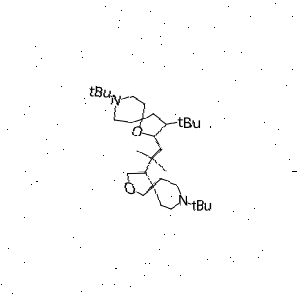 CC(C)(C)C1CC2(CCN(C(C)(C)C)CC2)OC1CC(C)(C)C1COCC12CCN(C(C)(C)C)CC2